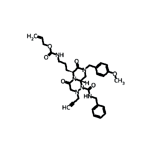 C#CCN1CC(=O)N2[C@@H](CCCNC(=O)OCC=C)C(=O)N(Cc3ccc(OC)cc3)C[C@@H]2N1C(=O)NCc1ccccc1